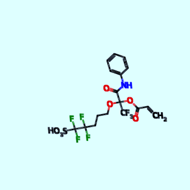 C=CC(=O)OC(OCCCC(F)(F)C(F)(F)S(=O)(=O)O)(C(=O)Nc1ccccc1)C(F)(F)F